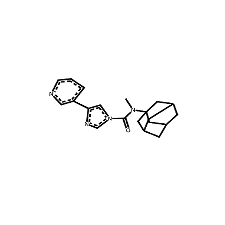 CN(C(=O)n1cnc(-c2cccnc2)c1)C12CC3CC(CC(C3)C1)C2